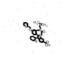 CN(C)CCN1Cc2cc(OCc3ccccn3)ccc2-c2c([C@@H]3CCCC[C@H]3F)c3ccc(C(=O)O)cc3n2CC1=O